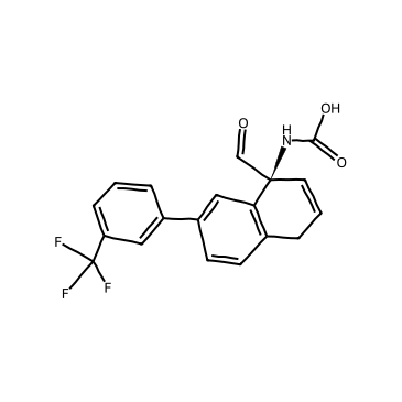 O=C[C@]1(NC(=O)O)C=CCc2ccc(-c3cccc(C(F)(F)F)c3)cc21